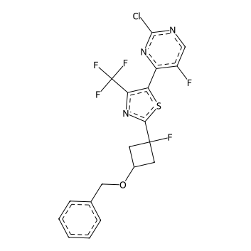 Fc1cnc(Cl)nc1-c1sc(C2(F)CC(OCc3ccccc3)C2)nc1C(F)(F)F